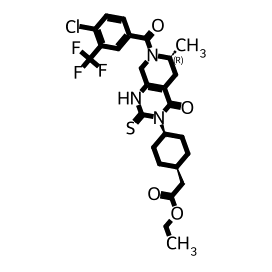 CCOC(=O)C[C@H]1CC[C@@H](n2c(=S)[nH]c3c(c2=O)C[C@@H](C)N(C(=O)c2ccc(Cl)c(C(F)(F)F)c2)C3)CC1